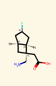 NC[C@]1(CC(=O)O)C[C@H]2C[C@@H](F)C[C@H]21